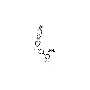 CC(=O)N1CCC2(CC1)CN(C1=CCN(C(C)c3ccc(-c4cc(C(F)(F)F)ccc4CN)cc3)C=C1)C2